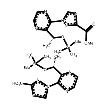 COC(=O)c1ncn(-c2nccnc2[C@@H](C)O[Si](C)(C)C(C)(C)C)n1.C[C@@H](O[Si](C)(C)C(C)(C)C)c1nccnc1-n1cnc(C(=O)O)n1